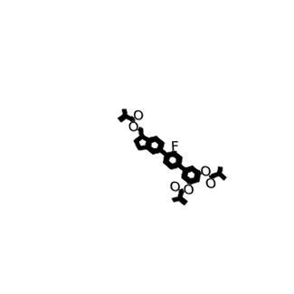 C=C(C)C(=O)OCC1CCc2cc(-c3ccc(-c4cc(OC(=O)C(=C)C)cc(OC(=O)C(C)C)c4)cc3F)ccc21